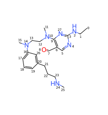 CCNc1ncc(C=O)c(N(C)CCN(C)c2cccc(CCCNC)c2)n1